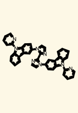 c1ccc(-n2c3ccccc3c3cc(-n4ccnc4-c4nccn4-c4ccc5c(c4)c4ccccc4n5-c4ccccn4)ccc32)nc1